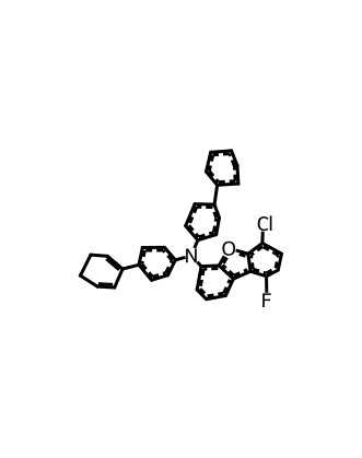 Fc1ccc(Cl)c2oc3c(N(c4ccc(C5=CCCC=C5)cc4)c4ccc(-c5ccccc5)cc4)cccc3c12